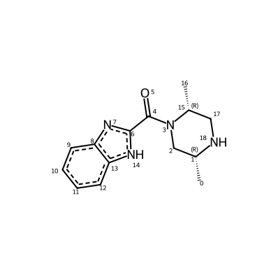 C[C@@H]1CN(C(=O)c2nc3ccccc3[nH]2)[C@H](C)CN1